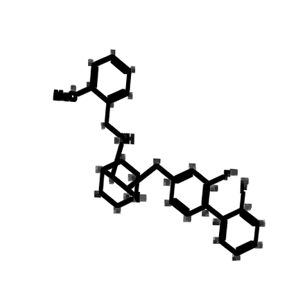 COc1ccccc1CNC1C2CCN(CC2)C1Cc1ccc(-c2ccccc2F)c(F)c1